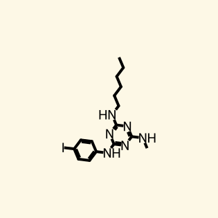 CCCCCCNc1nc(NC)nc(Nc2ccc(I)cc2)n1